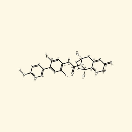 COc1ccc(-c2cc(F)c(NC(=O)N3[C@H]4CC[C@@H]3c3n[nH]c(=O)cc3C4)cc2F)cn1